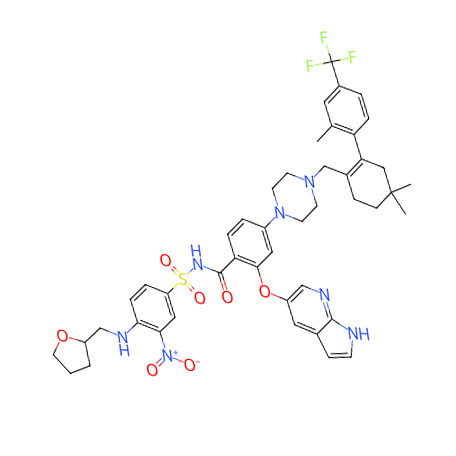 Cc1cc(C(F)(F)F)ccc1C1=C(CN2CCN(c3ccc(C(=O)NS(=O)(=O)c4ccc(NCC5CCCO5)c([N+](=O)[O-])c4)c(Oc4cnc5[nH]ccc5c4)c3)CC2)CCC(C)(C)C1